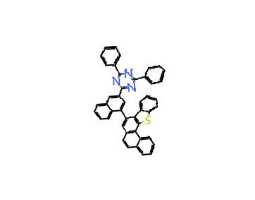 c1ccc(-c2nc(-c3ccccc3)nc(-c3cc(-c4cc5ccc6ccccc6c5c5sc6ccccc6c45)c4ccccc4c3)n2)cc1